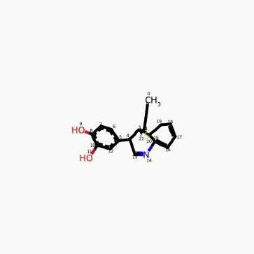 CC1CC2C(c3ccc(O)c(O)c3)C=NC3=CC=CCC32S1